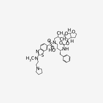 CC(C)CN(C[C@@H](O)[C@H](Cc1ccccc1)NC(=O)O[C@H]1CO[C@H]2OCC[C@H]21)S(=O)(=O)c1ccc2nc(N(C)CCN3CCCC3)sc2c1